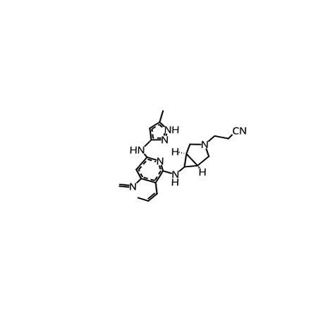 C=Nc1cc(Nc2cc(C)[nH]n2)nc(NC2[C@H]3CN(CCC#N)C[C@@H]23)c1/C=C\C